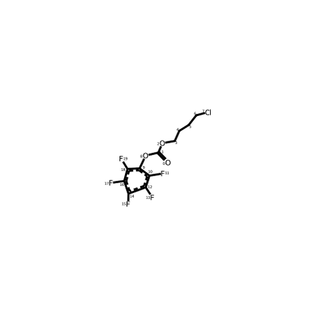 O=C(OCCCCCl)Oc1c(F)c(F)c(F)c(F)c1F